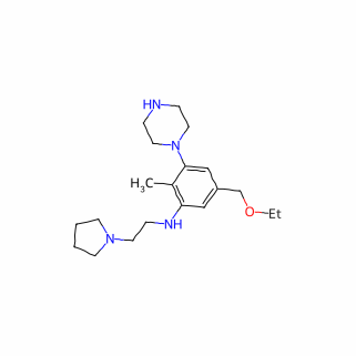 CCOCc1cc(NCCN2CCCC2)c(C)c(N2CCNCC2)c1